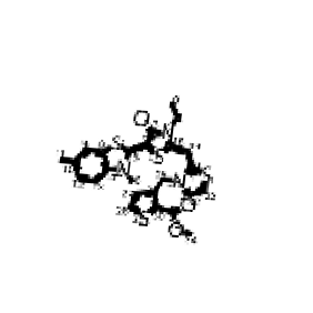 CCn1c(=O)/c(=C2\Sc3cc(C)ccc3N2C)s/c1=C\c1scc[n+]1Cc1ccsc1C(=O)OC